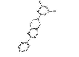 Fc1cc(Br)cc(N2CCc3nc(-c4ncccn4)ncc3C2)c1